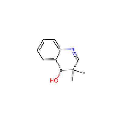 CC1(C)C=Nc2ccccc2C1O